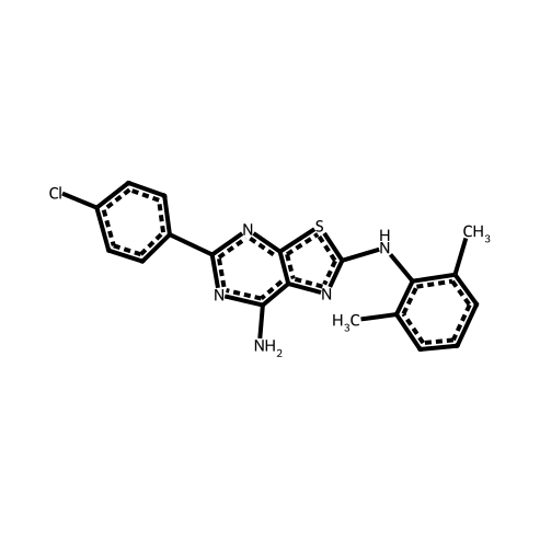 Cc1cccc(C)c1Nc1nc2c(N)nc(-c3ccc(Cl)cc3)nc2s1